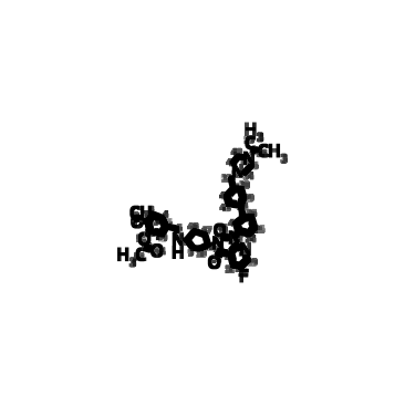 COc1ccc(CN[C@H]2CC[C@@H](n3c(=O)c4cc(F)cnc4n(-c4cccc(-c5ccc(CN6CCN(C(C)C)CC6)cc5)c4)c3=O)CC2)cc1OC(C)=O